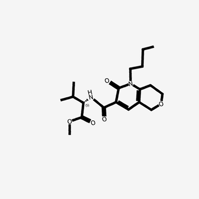 CCCCn1c2c(cc(C(=O)N[C@H](C(=O)OC)C(C)C)c1=O)COCC2